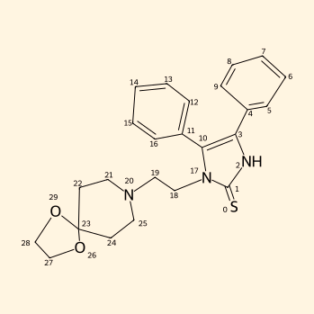 S=c1[nH]c(-c2ccccc2)c(-c2ccccc2)n1CCN1CCC2(CC1)OCCO2